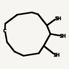 SC1CCCCCCCCCC(S)C1S